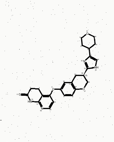 O=C1CCc2c(Oc3ccc4c(c3)C[C@@H](c3nc(C5CCOCC5)c[nH]3)CO4)ccnc2N1